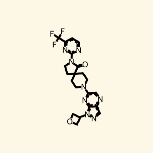 O=C1N(c2nccc(C(F)(F)F)n2)CCC12CCN(c1cnc3cnn(C4COC4)c3n1)CC2